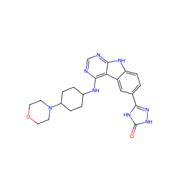 O=c1[nH]nc(-c2ccc3[nH]c4ncnc(NC5CCC(N6CCOCC6)CC5)c4c3c2)[nH]1